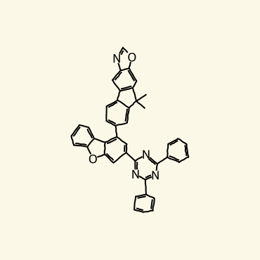 CC1(C)c2cc(-c3cc(-c4nc(-c5ccccc5)nc(-c5ccccc5)n4)cc4oc5ccccc5c34)ccc2-c2cc3ncoc3cc21